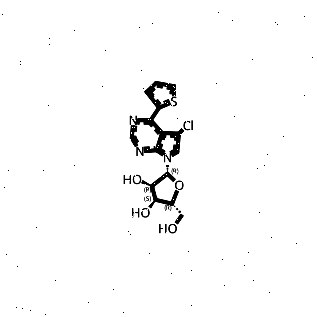 OC[C@H]1O[C@@H](n2cc(Cl)c3c(-c4cccs4)ncnc32)[C@H](O)[C@@H]1O